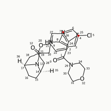 O=C(c1cc(Cl)cnc1NCC(=O)N1[C@@H]2CC[C@H]1CC(Oc1ccc(F)cc1)C2)N1CCOCC1